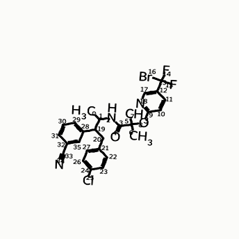 CC(NC(=O)C(C)(C)Oc1ccc(C(F)(F)Br)cn1)C(Cc1ccc(Cl)cc1)c1cccc(C#N)c1